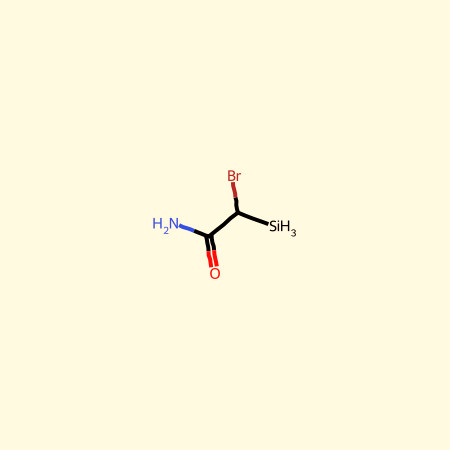 NC(=O)C([SiH3])Br